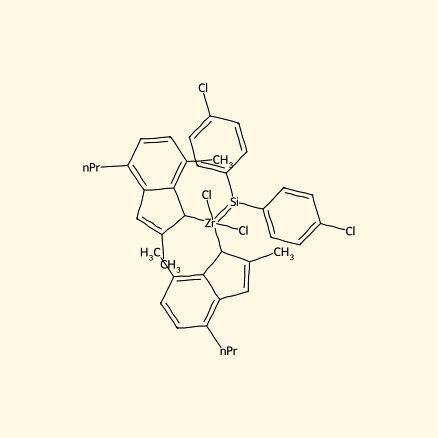 CCCc1ccc(C)c2c1C=C(C)[CH]2[Zr]([Cl])([Cl])([CH]1C(C)=Cc2c(CCC)ccc(C)c21)=[Si](c1ccc(Cl)cc1)c1ccc(Cl)cc1